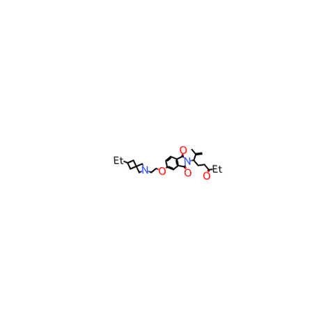 C=C(C)C(CCC(=O)CC)N1C(=O)c2ccc(OCCN3CC4(CC(CC)C4)C3)cc2C1=O